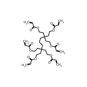 C=CC(=O)OCCC(CCCC(CCOC(=O)C=C)(CCOC(=O)C=C)CCOC(=O)C=C)(CCOC(=O)C=C)CCOC(=O)C=C